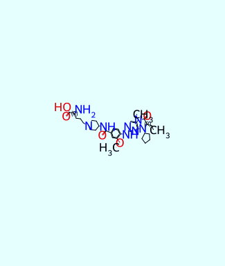 CC[C@@H]1C(=O)N(C)c2cnc(Nc3ccc(C(=O)NC4CCN(CCC[C@@H](N)C(=O)O)CC4)cc3OC)nc2N1C1CCCC1